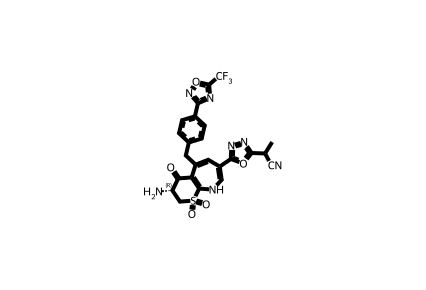 CC(C#N)c1nnc(C2=CNC3=C(C(=O)[C@@H](N)CS3(=O)=O)C(Cc3ccc(-c4noc(C(F)(F)F)n4)cc3)=C2)o1